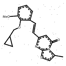 COc1cccc(C=Cc2cc(=O)n3c(C)csc3n2)c1OCC1CC1